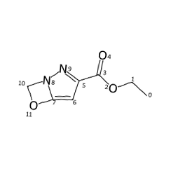 CCOC(=O)c1cc2n(n1)CO2